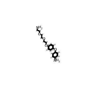 NCCOCCOCCOc1ccc(Oc2ccc(N)cc2)cc1